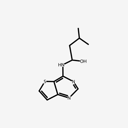 CC(C)CC(O)Nc1ncnc2ccsc12